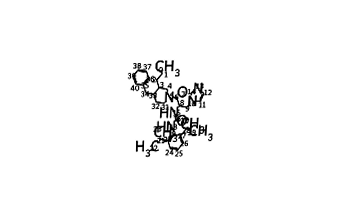 CCCC1CN(C(=O)C(Cn2ccnc2)NC(=O)Nc2c(C(C)C)cccc2C(C)C)CCC1Cc1ccccc1